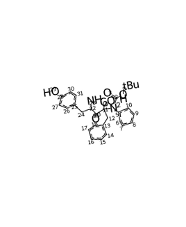 CC(C)(C)OC(=O)N(c1ccccc1)C(Cc1ccccc1)(C(=O)O)C(=O)C(N)Cc1ccc(O)cc1